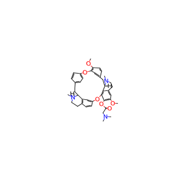 COc1ccc2cc1Oc1ccc(cc1)C[C@H]1c3cc(ccc3CCN1C)Oc1c(OC(=O)CN(C)C)c(OC)cc3c1[C@H](C2)N(C)CC3